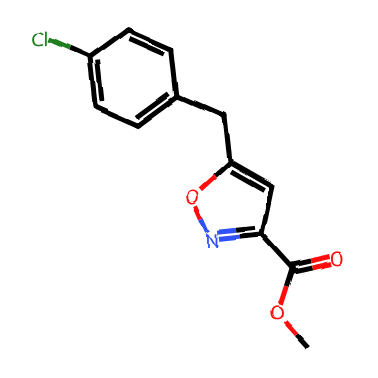 COC(=O)c1cc(Cc2ccc(Cl)cc2)on1